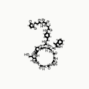 Cc1c(SC[C@@H]2NC(=O)CNC(=O)[C@H](C(C)C)NC(=O)CNC(=O)CNC(=O)[C@H]([C@@H](C)[C@@H](O)CO)NC(=O)[C@@H]3CCCN3C(=O)[C@H](CC(=O)NCc3ccc(NC(=O)[C@H](C)NC(=O)C(NC(=O)CCN4C(=O)C=CC4=O)C(C)C)cc3)NC2=O)[nH]c2ccccc12